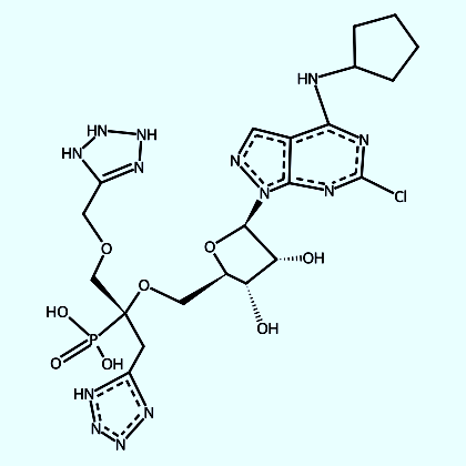 O=P(O)(O)[C@@](COCC1=NNNN1)(Cc1nnn[nH]1)OC[C@H]1O[C@@H](n2ncc3c(NC4CCCC4)nc(Cl)nc32)[C@H](O)[C@@H]1O